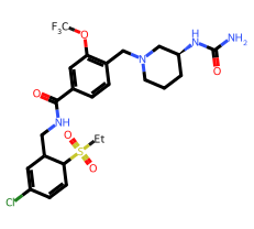 CCS(=O)(=O)C1C=CC(Cl)=CC1CNC(=O)c1ccc(CN2CCC[C@H](NC(N)=O)C2)c(OC(F)(F)F)c1